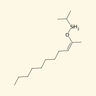 CCCCCCCCC=C(C)O[SiH2]C(C)C